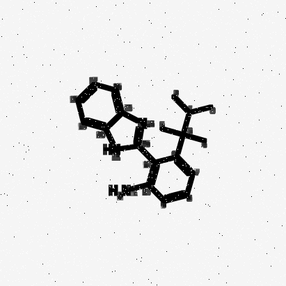 CC(C)C(C)(C)c1cccc(N)c1-c1nc2ccccc2[nH]1